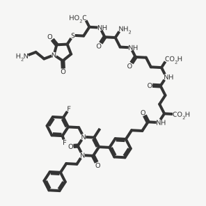 Cc1c(-c2cccc(CCC(=O)NC(CCC(=O)NC(CCC(=O)NCC(N)C(=O)NC(CSC3CC(=O)N(CCN)C3=O)C(=O)O)C(=O)O)C(=O)O)c2)c(=O)n(CCc2ccccc2)c(=O)n1Cc1c(F)cccc1F